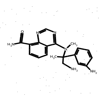 CN(c1ncnc2c(C(N)=O)cccc12)C(C)(CN)c1cccc(N)c1